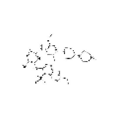 CCc1ccc2c(P(C)(C)=O)c(Nc3nc(Nc4cc(C)c(N5CCC(N6CCN(C)CC6)CC5)cc4OC)ncc3Br)ccc2n1